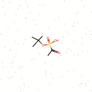 CC(=O)P(=O)(O)OC(C)(C)C